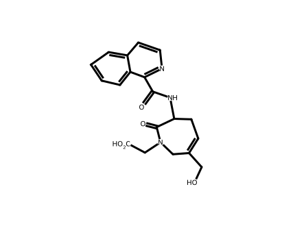 O=C(O)CN1CC(CO)=CCC(NC(=O)c2nccc3ccccc23)C1=O